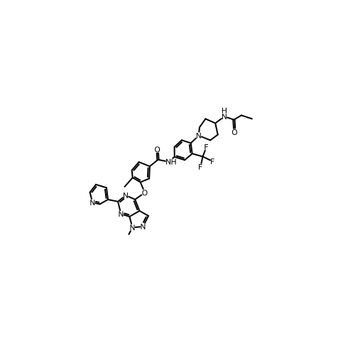 CCC(=O)NC1CCN(c2ccc(NC(=O)c3ccc(C)c(Oc4nc(-c5cccnc5)nc5c4cnn5C)c3)cc2C(F)(F)F)CC1